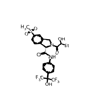 CCC(O)C(=O)N1Cc2cc(S(C)(=O)=O)ccc2[C@H]1C(=O)Nc1ccc(C(O)(C(F)(F)F)C(F)(F)F)cc1